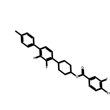 CCc1ccc(C(=O)OC2CCC(c3ccc(-c4ccc(C)cc4)c(F)c3F)CC2)cc1F